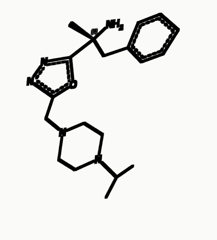 CC(C)N1CCN(Cc2nnc([C@](C)(N)Cc3ccccc3)o2)CC1